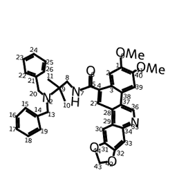 COc1cc2c(C(=O)NCC(C)(C)N(Cc3ccccc3)Cc3ccccc3)cc3c4cc5c(cc4ncc3c2cc1OC)OCO5